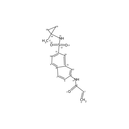 C=CC(=O)Nc1ccc2ccc(S(=O)(=O)NC3(C)CC3)cc2c1